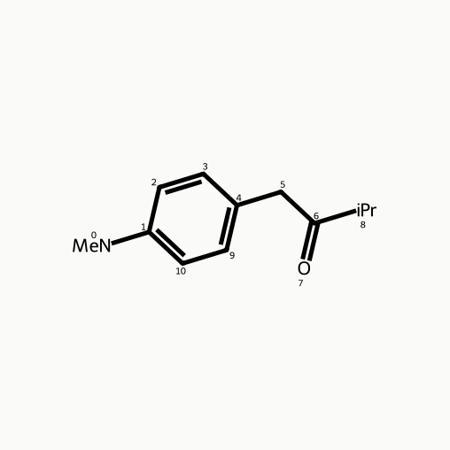 CNc1ccc(CC(=O)C(C)C)cc1